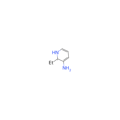 CC[C]1NC=CC=C1N